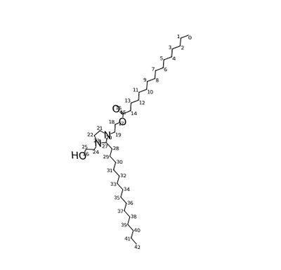 CCCCCCCCCCCCCCCC(=O)OCCN1CCN(CCO)C1CCCCCCCCCCCCCCC